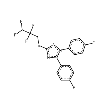 Fc1ccc(-c2nc(SCC(F)(F)C(F)F)nn2-c2ccc(F)cc2)cc1